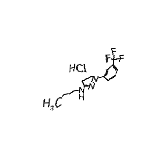 CCCCNC1=NN(c2cccc(C(F)(F)F)c2)CC1.Cl